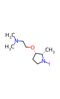 C[C@H]1[C@@H](OCCN(C)C)CCN1I